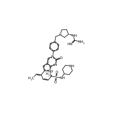 C=C(/C=C\C(=C/C)c1cc2cn(-c3ccc(CN4CC[C@@H](NC(=N)N)C4)cc3)c(=O)nc2[nH]1)S(=O)(=O)NC1CCNCC1